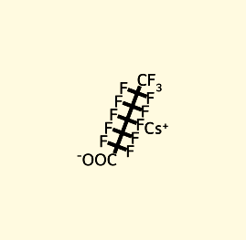 O=C([O-])C(F)(F)C(F)(F)C(F)(F)C(F)(F)C(F)(F)C(F)(F)F.[Cs+]